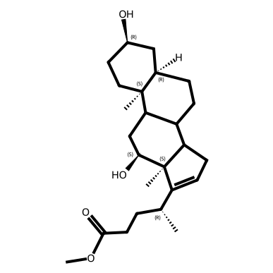 COC(=O)CC[C@@H](C)C1=CCC2C3CC[C@@H]4C[C@H](O)CC[C@]4(C)C3C[C@H](O)[C@]12C